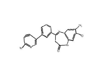 Cc1cc2c(cc1Cl)NC(=O)CC(c1cccc(-c3ccc(C(C)C)nc3)c1)=N2